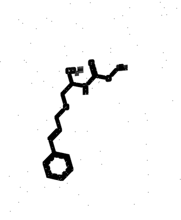 CC(C)(C)OC(=O)NC(COC/C=C/c1ccccc1)C(=O)O